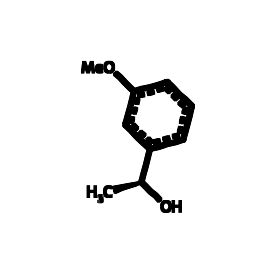 COc1cccc([C@H](C)O)c1